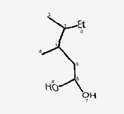 CCC(C)C(C)CC(O)O